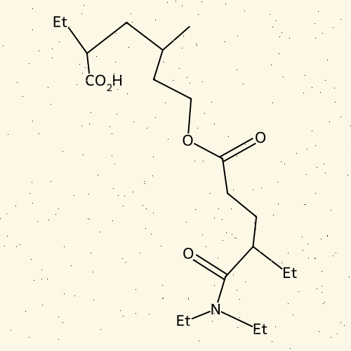 CCC(CC(C)CCOC(=O)CCC(CC)C(=O)N(CC)CC)C(=O)O